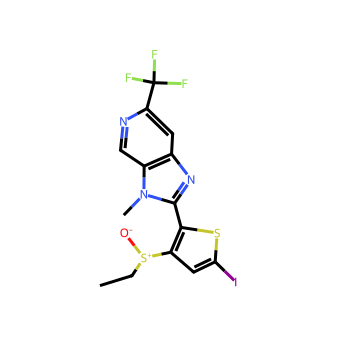 CC[S+]([O-])c1cc(I)sc1-c1nc2cc(C(F)(F)F)ncc2n1C